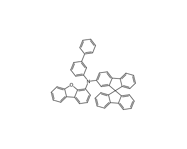 c1ccc(-c2cccc(N(c3ccc4c(c3)C3(c5ccccc5-c5ccccc53)c3ccccc3-4)c3cccc4c3oc3ccccc34)c2)cc1